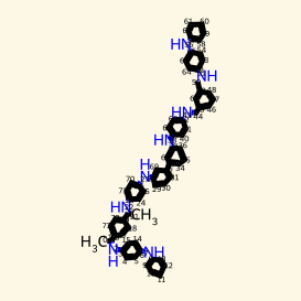 CC(Nc1ccc(Nc2ccccc2)cc1)c1ccc(C(C)Nc2ccc(Nc3cccc(-c4cccc(Nc5ccc(NCc6cccc(CNc7ccc(Nc8ccccc8)cc7)c6)cc5)c4)c3)cc2)cc1